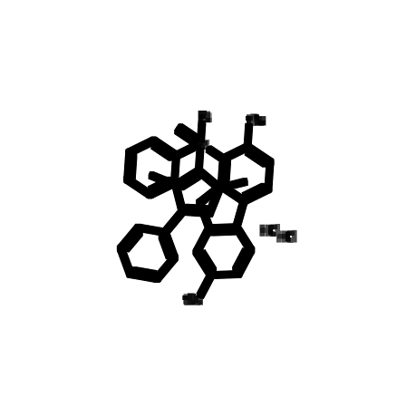 Cl.Cl.[CH2]=[Zr]([CH2]C)([C]1=C(C)C(c2ccccc2)=CC1C)([c]1ccccc1)[c]1c(C(C)(C)C)ccc2c1Cc1cc(C(C)(C)C)ccc1-2